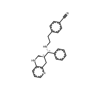 N#Cc1ccc(CCN[C@H](c2ccccc2)[C@@H]2CNc3cccnc3C2)cc1